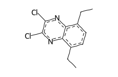 CCc1ccc(CC)c2nc(Cl)c(Cl)nc12